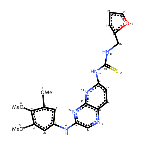 COc1cc(Nc2cnc3ccc(NC(=S)NCc4ccco4)nc3n2)cc(OC)c1OC